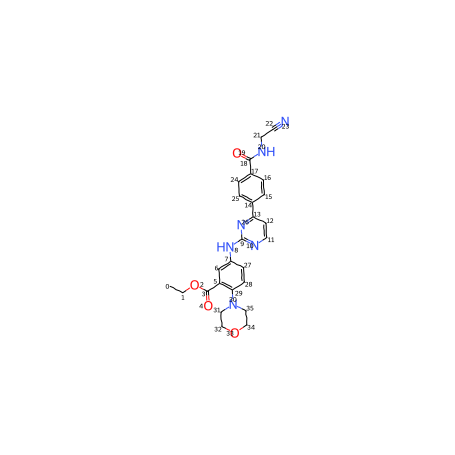 CCOC(=O)c1cc(Nc2nccc(-c3ccc(C(=O)NCC#N)cc3)n2)ccc1N1CCOCC1